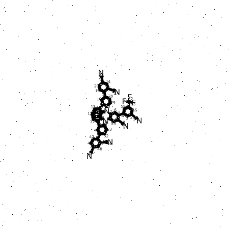 N#Cc1cc(-c2cc(-n3c4ccccc4c4cc(-c5ccc(C#N)cc5C#N)ccc43)c(-n3c4ccccc4c4cc(-c5ccc(C#N)cc5C#N)ccc43)cc2C#N)cc(C(F)(F)F)c1